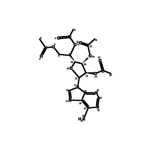 CC(=O)OCC(OC(C)=O)[C@H]1OC(n2cnc3c(N)ncnc32)[C@H](OC(C)=O)[C@H]1OC(C)=O